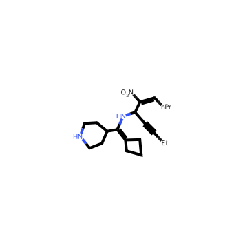 CCC#CC(NC(=C1CCC1)C1CCNCC1)/C(=C\CCC)[N+](=O)[O-]